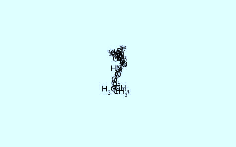 CC(C)(C)c1ccc(OCCOCCNCCC(=O)N2CCc3nc(SC4CCC4)n(-c4ccccc4)c(=O)c3C2)cc1